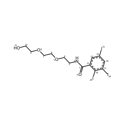 O=C(NCCOCCOCCO)c1cc(I)cc(I)c1I